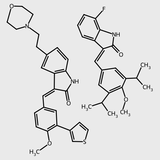 COc1c(C(C)C)cc(C=C2C(=O)Nc3c(F)cccc32)cc1C(C)C.COc1ccc(C=C2C(=O)Nc3ccc(CCN4CCOCC4)cc32)cc1-c1ccsc1